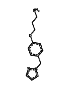 NCCCOc1ccc(Cn2cccn2)cc1